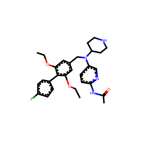 CCOc1cc(CN(c2ccc(NC(C)=O)nc2)C2CCNCC2)cc(OCC)c1-c1ccc(F)cc1